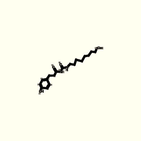 CCCCCCCCCCCCCCCCCCNC(=O)NC(=O)CCc1ccc(O)cc1